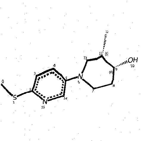 CSc1ccc(N2CC[C@@H](O)[C@@H](F)C2)cn1